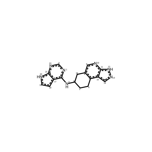 c1nc(NC2CCc3c(cnc4[nH]ncc34)C2)c2cc[nH]c2n1